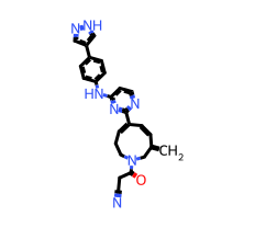 C=C1/C=C\C(c2nccc(Nc3ccc(-c4cn[nH]c4)cc3)n2)=C/CCN(C(=O)CC#N)C1